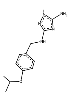 CC(C)Oc1ccc(CNc2n[nH]c(N)n2)cc1